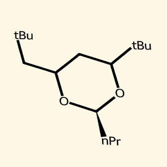 CCC[C@H]1OC(CC(C)(C)C)CC(C(C)(C)C)O1